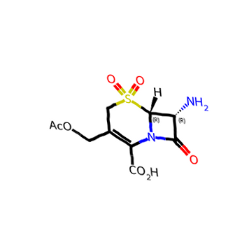 CC(=O)OCC1=C(C(=O)O)N2C(=O)[C@@H](N)[C@H]2S(=O)(=O)C1